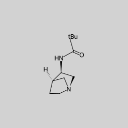 CC(C)(C)C(=O)N[C@H]1C[N@@]2CC[C@@H]1C2